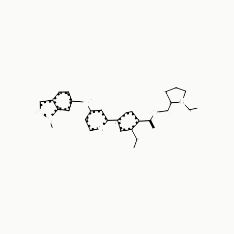 CCc1cc(-c2cc(Oc3ccc4cnn(C)c4c3)ccn2)ccc1C(=O)NCC1CCCN1CC